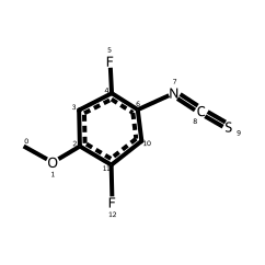 COc1cc(F)c(N=C=S)cc1F